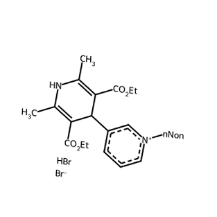 Br.CCCCCCCCC[n+]1cccc(C2C(C(=O)OCC)=C(C)NC(C)=C2C(=O)OCC)c1.[Br-]